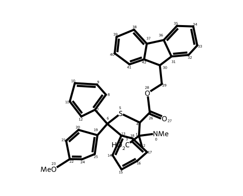 CNC(C)(C(=O)O)C(SC(c1ccccc1)(c1ccccc1)c1ccc(OC)cc1)C(=O)OCC1c2ccccc2-c2ccccc21